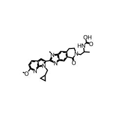 COc1ccc2cc(-c3nc4cc5c(cc4n3C)CCN(CC(C)NC(=O)O)C5=O)n(CC3CC3)c2n1